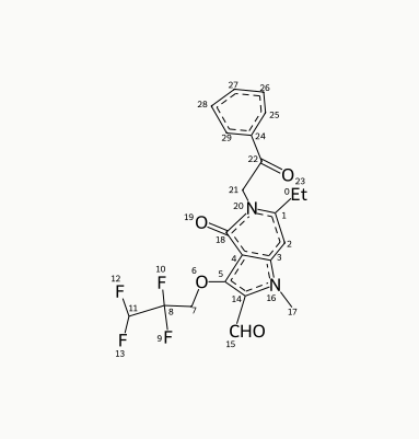 CCc1cc2c(c(OCC(F)(F)C(F)F)c(C=O)n2C)c(=O)n1CC(=O)c1ccccc1